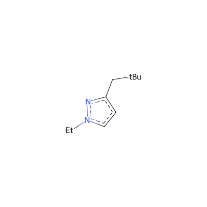 CCn1ccc(CC(C)(C)C)n1